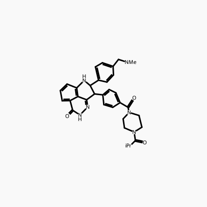 CNCc1ccc(C2Nc3cccc4c(=O)[nH]nc(c34)C2c2ccc(C(=O)N3CCN(C(=O)C(C)C)CC3)cc2)cc1